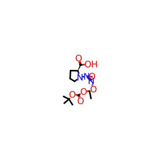 CC(OC(=O)OC(C)(C)C)On1on1N1CCC[C@H]1C(=O)O